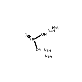 O=[PH](O)O.[NaH].[NaH].[NaH].[NaH]